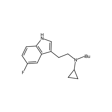 CCC(C)N(CCc1c[nH]c2ccc(F)cc12)C1CC1